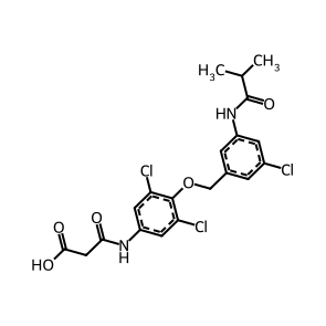 CC(C)C(=O)Nc1cc(Cl)cc(COc2c(Cl)cc(NC(=O)CC(=O)O)cc2Cl)c1